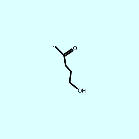 [CH2]C(=O)CCCO